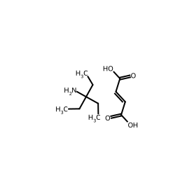 CCC(N)(CC)CC.O=C(O)C=CC(=O)O